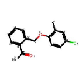 Cc1cc(Cl)ccc1OCc1ccccc1C(=O)C#N